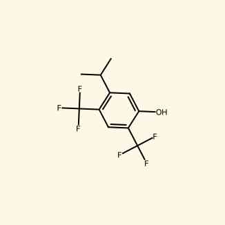 CC(C)c1cc(O)c(C(F)(F)F)cc1C(F)(F)F